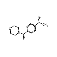 CC(S)c1ccc(C(=O)N2CCOCC2)cc1